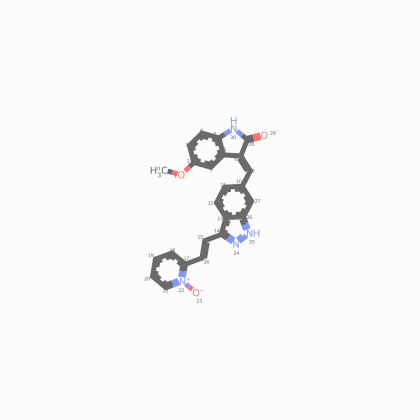 COc1ccc2c(c1)/C(=C\c1ccc3c(/C=C/c4cccc[n+]4[O-])n[nH]c3c1)C(=O)N2